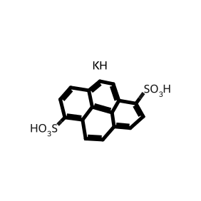 O=S(=O)(O)c1ccc2ccc3c(S(=O)(=O)O)ccc4ccc1c2c43.[KH]